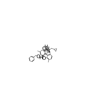 CC1=C(OCc2ccccc2)[C@@H]2Oc3c(C)ccc4c3[C@@]23CCN(CC2CC2)[C@H](C4)[C@]3(O)C1